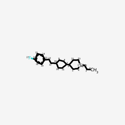 CCC[SiH]1CCC(C2CCC(CCc3ccc(F)cc3)CC2)CC1